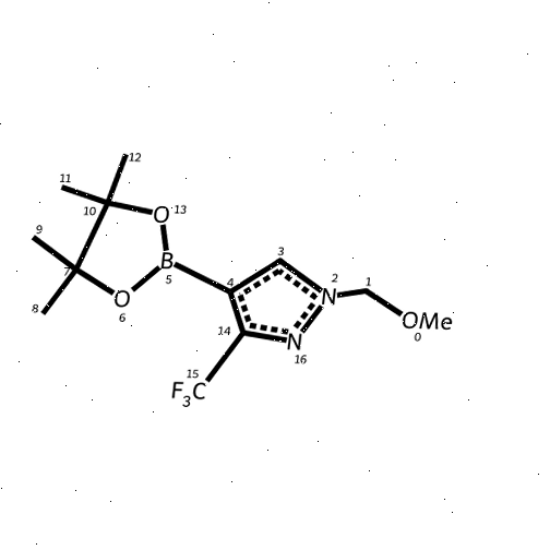 COCn1cc(B2OC(C)(C)C(C)(C)O2)c(C(F)(F)F)n1